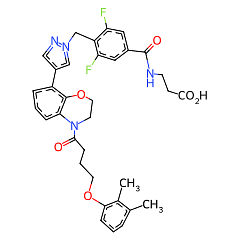 Cc1cccc(OCCCC(=O)N2CCOc3c(-c4cnn(Cc5c(F)cc(C(=O)NCCC(=O)O)cc5F)c4)cccc32)c1C